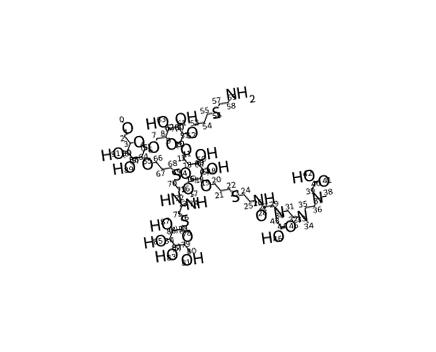 COCC1O[C@H](OCC2O[C@H](OCC3O[C@H](OC)C(OCCCSCCNC(=O)CN(CCN(C)CCN(C)CC(=O)O)CC(=O)O)[C@@H](O)[C@@H]3O)C(OCCCSCCN)[C@@H](O)[C@@H]2O)C(OCCCSCCNC(=N)CS[C@H]2OC(CO)[C@@H](O)C(O)[C@H]2O)[C@@H](O)[C@@H]1O